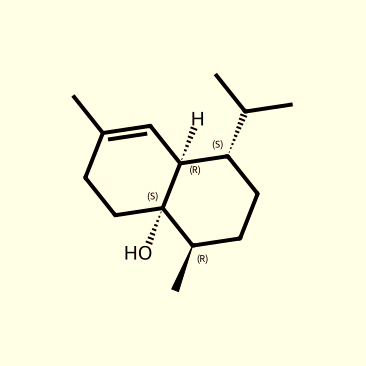 CC1=C[C@H]2[C@H](C(C)C)CC[C@@H](C)[C@@]2(O)CC1